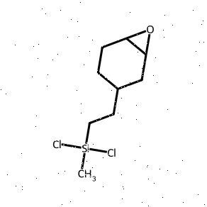 C[Si](Cl)(Cl)CCC1CCC2OC2C1